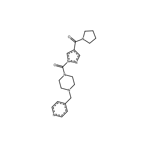 O=C(c1cnn(C(=O)N2CCN(Cc3ccncc3)CC2)c1)N1CCCC1